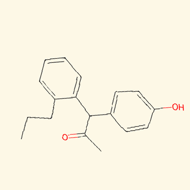 CCCc1ccccc1C(C(C)=O)c1ccc(O)cc1